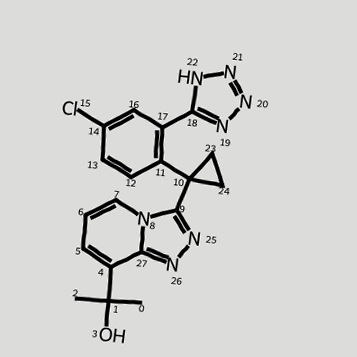 CC(C)(O)c1cccn2c(C3(c4ccc(Cl)cc4-c4nnn[nH]4)CC3)nnc12